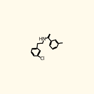 C=C(NCCc1cccc(Cl)c1)c1cccc(C)c1